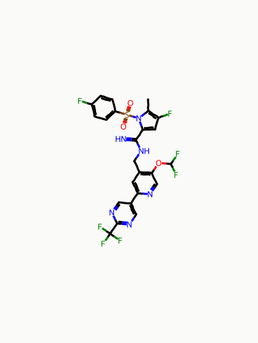 Cc1c(F)cc(C(=N)NCc2cc(-c3cnc(C(F)(F)F)nc3)ncc2OC(F)F)n1S(=O)(=O)c1ccc(F)cc1